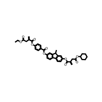 C=C(CC(=O)OCC)C(=O)Oc1ccc(C(=O)Oc2ccc3c(c2)C(C)c2cc(OC(=O)C(=C)CC(=O)OC4CCCCC4)ccc2-3)cc1